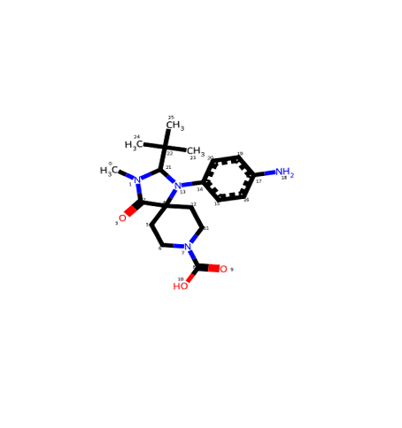 CN1C(=O)C2(CCN(C(=O)O)CC2)N(c2ccc(N)cc2)C1C(C)(C)C